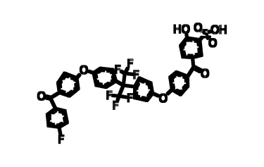 O=C(c1ccc(F)cc1)c1ccc(Oc2ccc(C(c3ccc(Oc4ccc(C(=O)c5ccc(O)c(S(=O)(=O)O)c5)cc4)cc3)(C(F)(F)F)C(F)(F)F)cc2)cc1